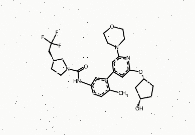 Cc1ccc(NC(=O)N2CC[C@@H](CC(F)(F)F)C2)cc1-c1cc(O[C@@H]2CC[C@@H](O)C2)nc(N2CCOCC2)c1